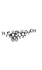 C#CCOc1ccc(/C=C/C(=O)c2c(O)cc(C)oc2=O)cc1